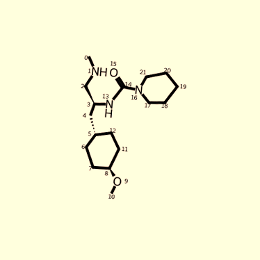 CNC[C@H](C[C@H]1CC[C@H](OC)CC1)NC(=O)N1CCCCC1